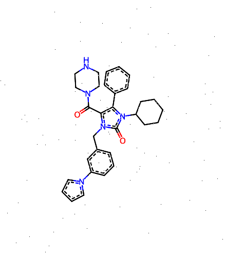 O=C(c1c(-c2ccccc2)n(C2CCCCC2)c(=O)n1Cc1cccc(-n2cccc2)c1)N1CCNCC1